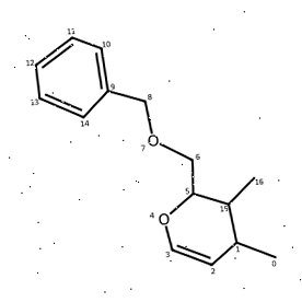 CC1C=COC(COCc2ccccc2)C1C